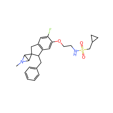 CN1C2C1C21Cc2cc(F)c(OCCNS(=O)(=O)CC3CC3)cc2C1Cc1ccccc1